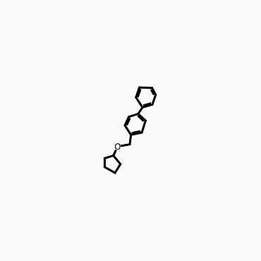 c1ccc(-c2ccc(COC3CCCC3)cc2)cc1